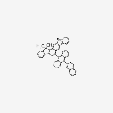 CC1(C)c2ccccc2-c2cc(-c3c4c(c(-c5ccc6ccccc6c5)c5ccccc35)=CCCC=4)c3cc4c(cc3c21)sc1ccccc14